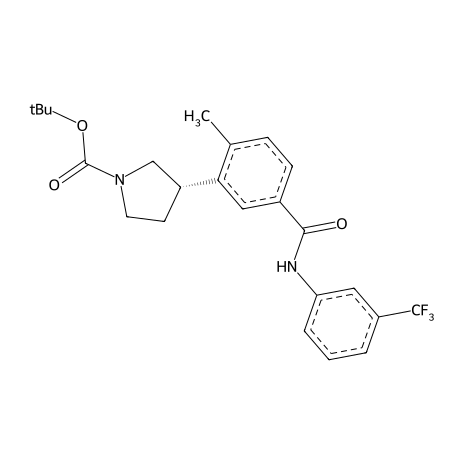 Cc1ccc(C(=O)Nc2cccc(C(F)(F)F)c2)cc1[C@@H]1CCN(C(=O)OC(C)(C)C)C1